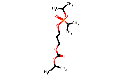 CC(C)OC(=O)OCCCOP(=O)(OC(C)C)C(C)C